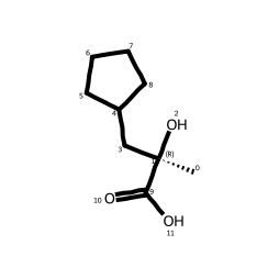 C[C@@](O)(CC1CCCC1)C(=O)O